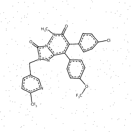 Cn1c(=O)c(-c2ccc(Cl)cc2)c(-c2ccc(OC(F)(F)F)cc2)c2nn(Cc3ccc(C(F)(F)F)nc3)c(=O)n21